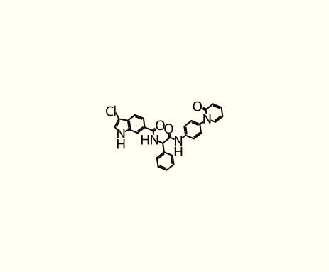 O=C(NC(C(=O)Nc1ccc(-n2ccccc2=O)cc1)c1ccccc1)c1ccc2c(Cl)c[nH]c2c1